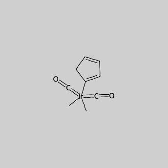 [CH3][Ir]([CH3])(=[C]=O)(=[C]=O)[C]1=CC=CC1